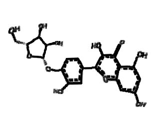 O=c1c(O)c(-c2ccc(O[C@@H]3O[C@H](CO)[C@@H](O)[C@H]3O)c(O)c2)oc2cc(O)cc(O)c12